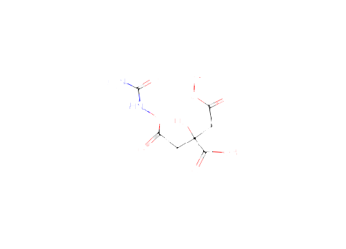 NC(=O)NOC(=O)CC(O)(CC(=O)OO)C(=O)O